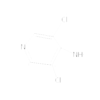 [NH]c1c(Cl)cncc1Cl